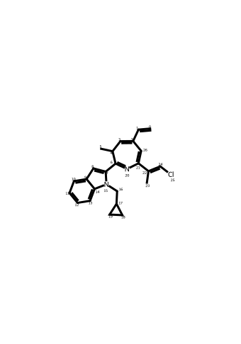 C=CC1=CC(C)C(c2cc3ccccc3n2CC2CC2)=NC(/C(C)=C/Cl)=C1